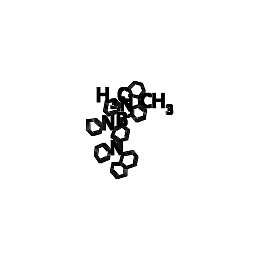 CC12CCCCC1(C)N1c3cccc4c3B(c3ccc(N(c5ccccc5)c5cccc6ccccc56)cc3N4c3ccccc3)c3cccc2c31